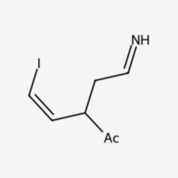 CC(=O)C(/C=C\I)CC=N